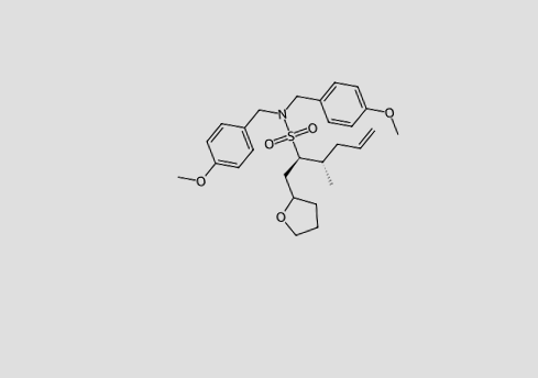 C=CC[C@H](C)[C@@H](CC1CCCO1)S(=O)(=O)N(Cc1ccc(OC)cc1)Cc1ccc(OC)cc1